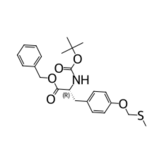 CSCOc1ccc(C[C@@H](NC(=O)OC(C)(C)C)C(=O)OCc2ccccc2)cc1